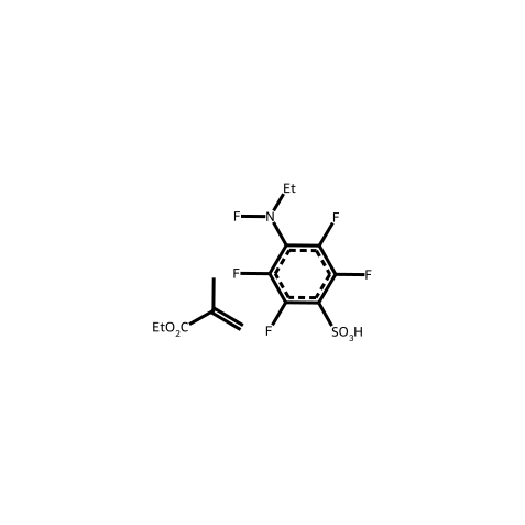 C=C(C)C(=O)OCC.CCN(F)c1c(F)c(F)c(S(=O)(=O)O)c(F)c1F